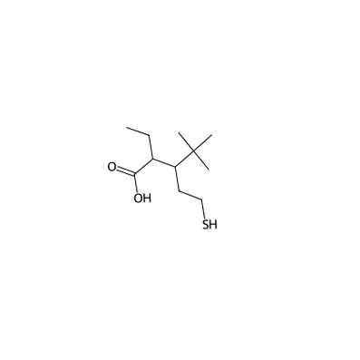 CCC(C(=O)O)C(CCS)C(C)(C)C